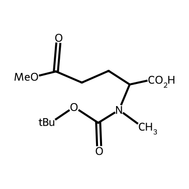 COC(=O)CCC(C(=O)O)N(C)C(=O)OC(C)(C)C